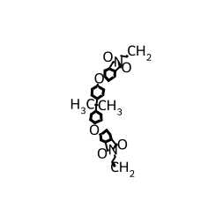 C=CCN1C(=O)c2ccc(Oc3ccc(C(C)(C)c4ccc(Oc5ccc6c(c5)C(=O)N(CC=C)C6=O)cc4)cc3)cc2C1=O